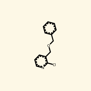 Clc1ncccc1COCc1ccccc1